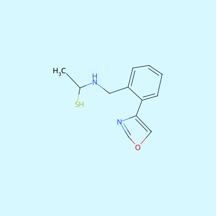 CC(S)NCc1ccccc1-c1cocn1